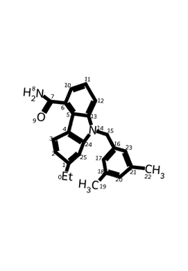 CCc1c[c]c2c3c(C(N)=O)cccc3n(Cc3cc(C)cc(C)c3)c2c1